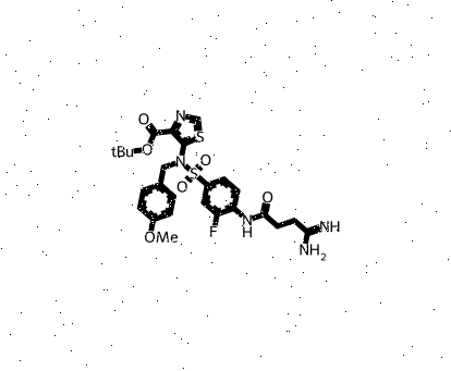 COc1ccc(CN(c2scnc2C(=O)OC(C)(C)C)S(=O)(=O)c2ccc(NC(=O)CCC(=N)N)c(F)c2)cc1